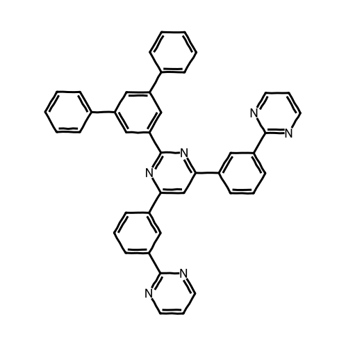 c1ccc(-c2cc(-c3ccccc3)cc(-c3nc(-c4cccc(-c5ncccn5)c4)cc(-c4cccc(-c5ncccn5)c4)n3)c2)cc1